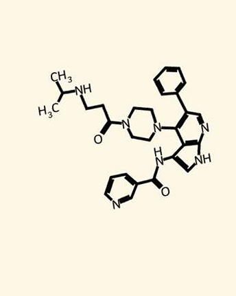 CC(C)NCCC(=O)N1CCN(c2c(-c3ccccc3)cnc3[nH]cc(NC(=O)c4cccnc4)c23)CC1